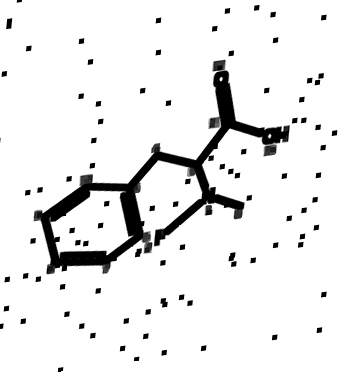 CN(F)C(Cc1ccccc1)C(=O)O